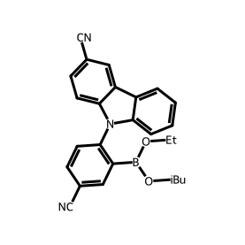 CCOB(OC(C)CC)c1cc(C#N)ccc1-n1c2ccccc2c2cc(C#N)ccc21